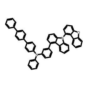 c1ccc(-c2ccc(-c3ccc(N(c4ccccc4)c4cccc(-c5cccc6c5c5ccccc5n6-c5cccc6oc7ccccc7c56)c4)cc3)cc2)cc1